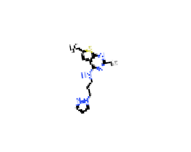 CCc1nc(NCCCn2cccn2)c2cc(C)sc2n1